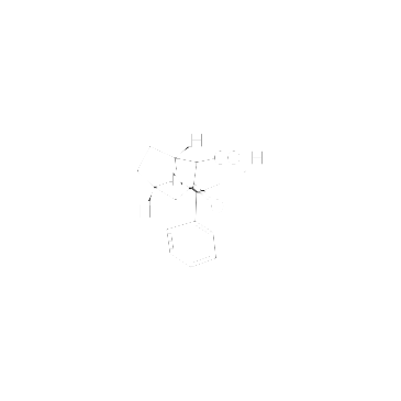 CC(c1ccccc1)N1[C@H]2CC[C@@H]1C(C(=O)O)C(=O)C2